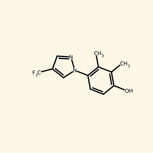 Cc1c(O)ccc(-n2cc(C(F)(F)F)cn2)c1C